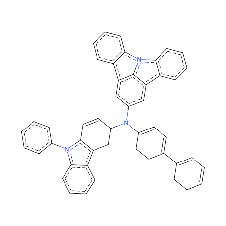 C1=CCCC(C2=CC=C(N(c3cc4c5ccccc5n5c6ccccc6c(c3)c45)C3C=Cc4c(c5ccccc5n4-c4ccccc4)C3)CC2)=C1